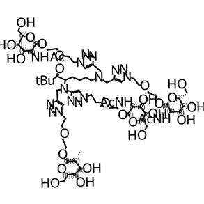 CC(=O)N[C@H]1[C@H](OCCOCCn2cc(CN(CCCCC(C(=O)C(C)(C)C)N(Cc3cn(CCOCCO[C@@H]4O[C@H](CO)[C@H](O)[C@H](O)[C@H]4C)nn3)c3cn(CCOCCO[C@@H]4O[C@H](CO)[C@H](O)[C@H](O)[C@H]4NC(C)=O)nn3)Cc3cn(CCOCCO[C@@H]4O[C@H](CO)[C@H](O)[C@H](O)[C@H]4NC(C)=O)nn3)nn2)O[C@H](CO)[C@H](O)[C@@H]1O